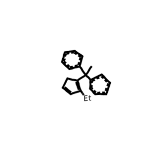 CCC1=C(C(C)(c2ccccc2)c2ccccc2)CC=C1